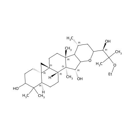 CCOC(C)(C)[C@H](O)C1C[C@@H](C)C2C(O1)[C@H](O)[C@@]1(C)[C@@H]3CC[C@H]4C(C)(C)C(O)CC[C@@]45C[C@@]35CC[C@]21C